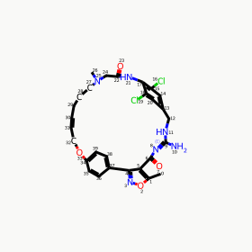 Cc1onc2c1C(=O)/N=C(\N)NCc1cc(Cl)c(c(Cl)c1)NC(=O)CN(C)CCCC=CCOc1ccc-2cc1